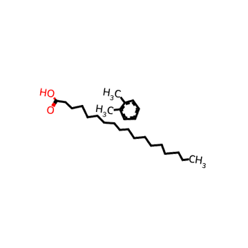 CCCCCCCCCCCCCCCCCC(=O)O.Cc1ccccc1C